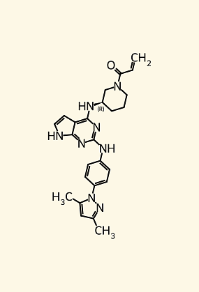 C=CC(=O)N1CCC[C@@H](Nc2nc(Nc3ccc(-n4nc(C)cc4C)cc3)nc3[nH]ccc23)C1